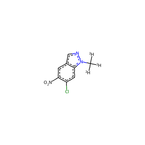 [2H]C([2H])([2H])n1ncc2cc([N+](=O)[O-])c(Cl)cc21